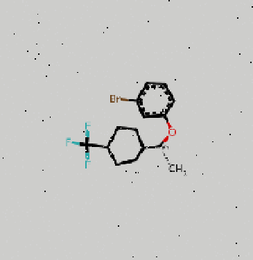 C[C@@H](Oc1cccc(Br)c1)C1CCC(C(F)(F)F)CC1